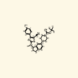 CN(c1nc(-c2ccc(F)cc2)c(C#N)s1)C1CCc2ccc(N3CCN(C(=O)OC(C)(C)C)CC3)cc21